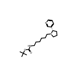 CC(C)(C)OC(=O)NCCCCCCN1CCC[C@H]1c1cccnc1